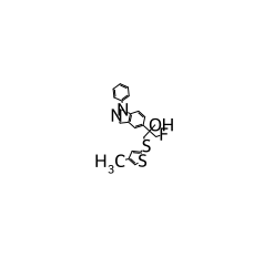 Cc1csc(SCC(O)(CF)c2ccc3c(cnn3-c3ccccc3)c2)c1